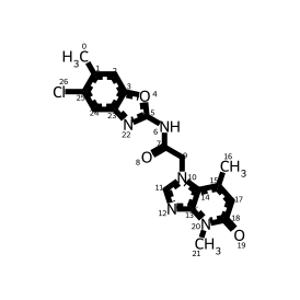 Cc1cc2oc(NC(=O)Cn3cnc4c3c(C)cc(=O)n4C)nc2cc1Cl